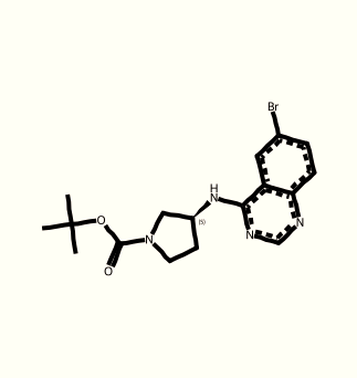 CC(C)(C)OC(=O)N1CC[C@H](Nc2ncnc3ccc(Br)cc23)C1